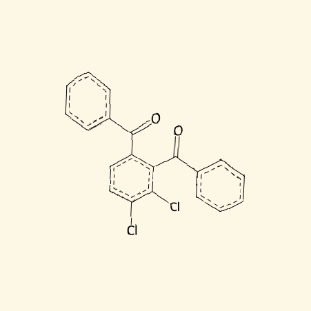 O=C(c1ccccc1)c1ccc(Cl)c(Cl)c1C(=O)c1ccccc1